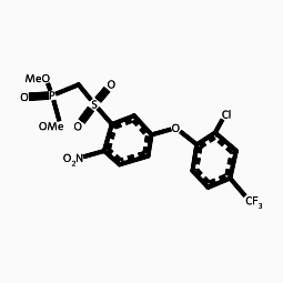 COP(=O)(CS(=O)(=O)c1cc(Oc2ccc(C(F)(F)F)cc2Cl)ccc1[N+](=O)[O-])OC